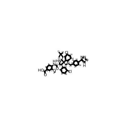 COc1cc(C(=O)O)ccc1NC(=O)[C@@H]1N[C@@H](CC(C)(C)C)[C@@]2(CN(Cc3ccc(-c4nnn[nH]4)cc3)c3ccc(Cl)cc32)[C@H]1c1cccc(Cl)c1